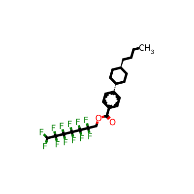 CCCC[C@H]1CC[C@H](c2ccc(C(=O)OCC(F)(F)C(F)(F)C(F)(F)C(F)(F)C(F)(F)C(F)F)cc2)CC1